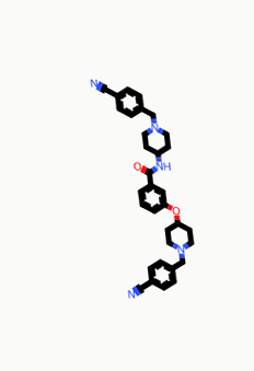 N#Cc1ccc(CN2CCC(NC(=O)c3cccc(OC4CCN(Cc5ccc(C#N)cc5)CC4)c3)CC2)cc1